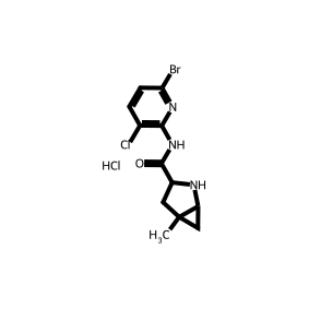 CC12CC(C(=O)Nc3nc(Br)ccc3Cl)NC1C2.Cl